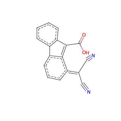 N#CC(C#N)=c1cccc2c1=C(C(=O)O)c1ccccc1-2